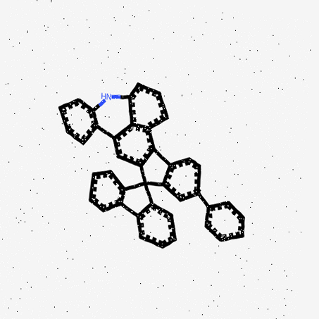 c1ccc(-c2ccc3c(c2)C2(c4ccccc4-c4ccccc42)c2cc4c5c(cccc5c2-3)Nc2ccccc2-4)cc1